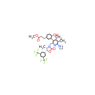 COC(=O)CCc1ccc(O)c(-c2c(CN3C(=O)O[C@H](c4cc(C(F)(F)F)cc(C(F)(F)F)c4)[C@@H]3C)nc(N3CCC3)c(C)c2C)c1